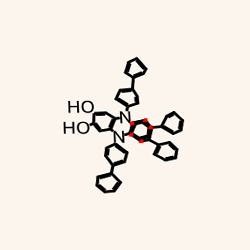 Oc1cc(N(c2ccc(-c3ccccc3)cc2)c2ccc(-c3ccccc3)cc2)c(N(c2ccc(-c3ccccc3)cc2)c2ccc(-c3ccccc3)cc2)cc1O